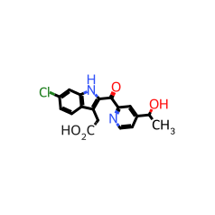 CC(O)c1ccnc(C(=O)c2[nH]c3cc(Cl)ccc3c2CC(=O)O)c1